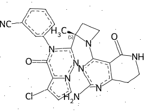 C[C@@]1(c2nn3ccc(Cl)c3c(=O)n2-c2cccc(C#N)c2)CCN1c1nc(N)nc2c1C(=O)NCC2